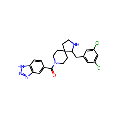 O=C(c1ccc2[nH]nnc2c1)N1CCC2(CCNC2Cc2cc(Cl)cc(Cl)c2)CC1